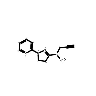 C#CCN(C=O)C1=NN(c2ccccn2)CC1